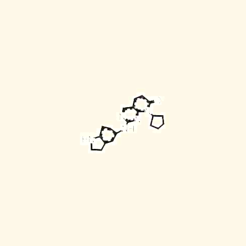 O=c1ccc2cnc(Nc3ccc4c(c3)CCN4)nc2n1C1CCCC1